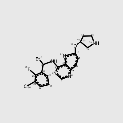 CCC(Nc1ncnc2ccc(O[C@H]3CCNC3)nc12)c1cccc(Cl)c1F